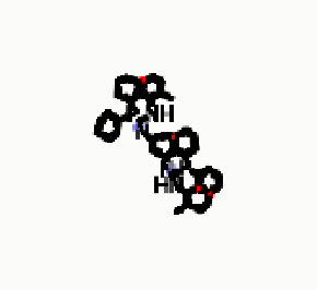 Cc1cccc(C)c1N/C(=N/c1cccc(/N=C(\Nc2c(C)cccc2C)P(c2ccccc2)c2ccccc2)c1)P(c1ccccc1)c1ccccc1